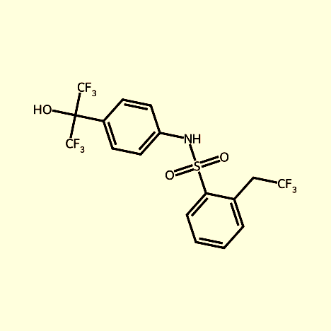 O=S(=O)(Nc1ccc(C(O)(C(F)(F)F)C(F)(F)F)cc1)c1ccccc1CC(F)(F)F